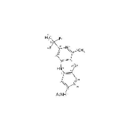 CC(=O)Nc1cc(Nc2cc(C)nc(C(C)(F)F)c2)c(Br)cn1